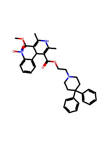 COC(=O)C1=C(C)NC(C)=C(C(=O)OCCN2CCC(c3ccccc3)(c3ccccc3)CC2)C1c1ccccc1[N+](=O)[O-]